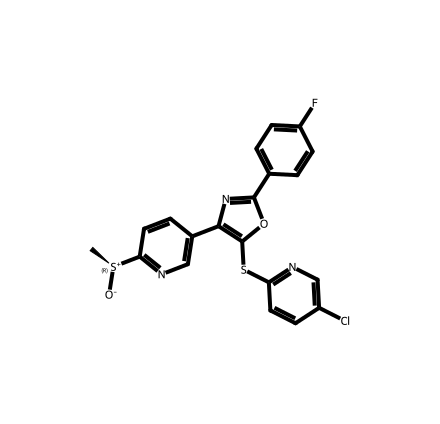 C[S@+]([O-])c1ccc(-c2nc(-c3ccc(F)cc3)oc2Sc2ccc(Cl)cn2)cn1